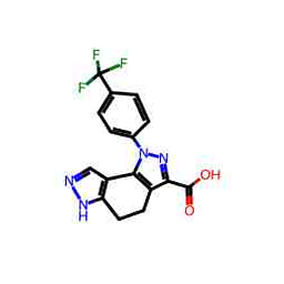 O=C(O)c1nn(-c2ccc(C(F)(F)F)cc2)c2c1CCc1[nH]ncc1-2